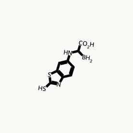 BC(Nc1ccc2nc(S)sc2c1)C(=O)O